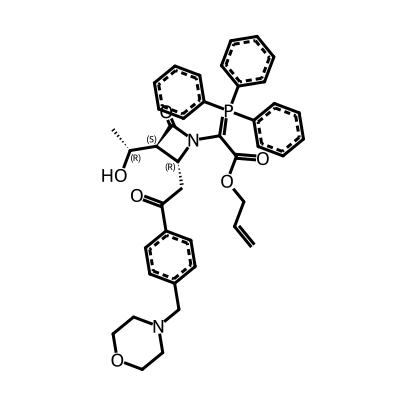 C=CCOC(=O)C(N1C(=O)[C@H]([C@@H](C)O)[C@H]1CC(=O)c1ccc(CN2CCOCC2)cc1)=P(c1ccccc1)(c1ccccc1)c1ccccc1